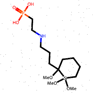 COC1(CCCNCCP(=O)(O)O)CCCC[Si]1(OC)OC